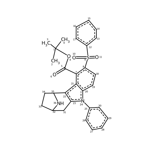 CC(C)(C)OC(=O)c1c(S(=O)(=O)c2ccccc2)ccc2c1c1c(n2-c2ccccc2)CC2CCC1N2